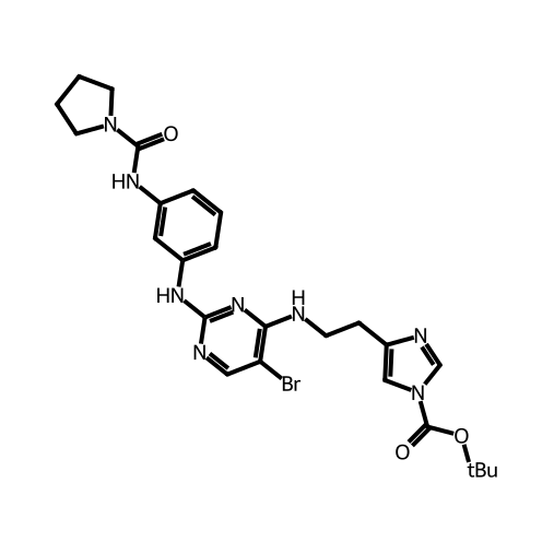 CC(C)(C)OC(=O)n1cnc(CCNc2nc(Nc3cccc(NC(=O)N4CCCC4)c3)ncc2Br)c1